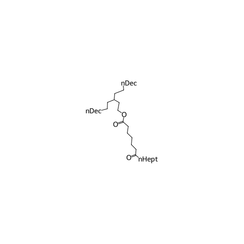 CCCCCCCCCCCCC(CCCCCCCCCCCC)CCOC(=O)CCCCCC(=O)CCCCCCC